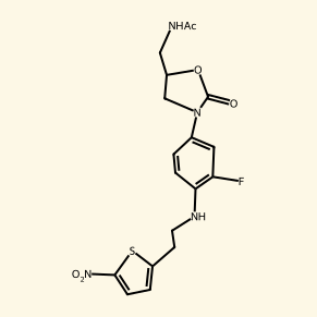 CC(=O)NCC1CN(c2ccc(NCCc3ccc([N+](=O)[O-])s3)c(F)c2)C(=O)O1